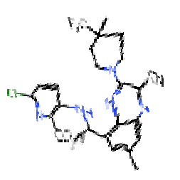 Cc1cc([C@@H](C)Nc2ccc(Cl)nc2C(=O)O)c2nc(N3CCC(C)(C(F)(F)F)CC3)c(C#N)nc2c1